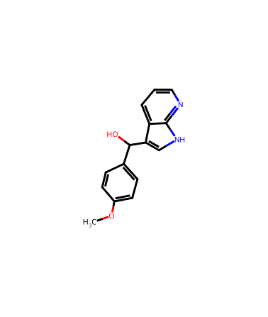 COc1ccc(C(O)c2c[nH]c3ncccc23)cc1